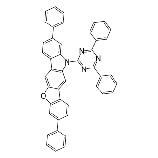 c1ccc(-c2ccc3c(c2)oc2cc4c5ccc(-c6ccccc6)cc5n(-c5nc(-c6ccccc6)nc(-c6ccccc6)n5)c4cc23)cc1